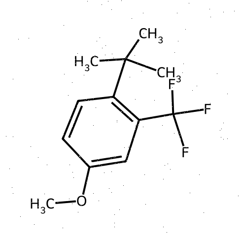 COc1ccc(C(C)(C)C)c(C(F)(F)F)c1